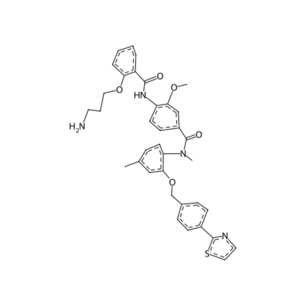 COc1cc(C(=O)N(C)c2ccc(C)cc2OCc2ccc(-c3nccs3)cc2)ccc1NC(=O)c1ccccc1OCCCN